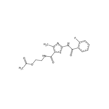 CC(=O)OCCNC(=O)c1sc(NC(=O)c2ccccc2F)nc1C